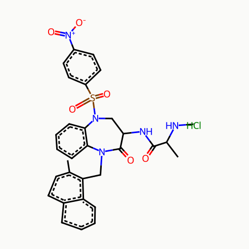 CNC(C)C(=O)NC1CN(S(=O)(=O)c2ccc([N+](=O)[O-])cc2)c2ccccc2N(Cc2c(C)ccc3ccccc23)C1=O.Cl